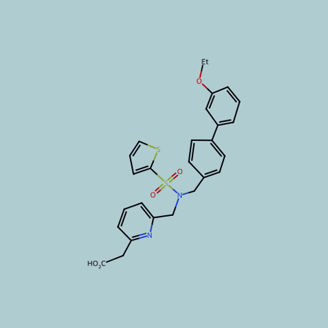 CCOc1cccc(-c2ccc(CN(Cc3cccc(CC(=O)O)n3)S(=O)(=O)c3cccs3)cc2)c1